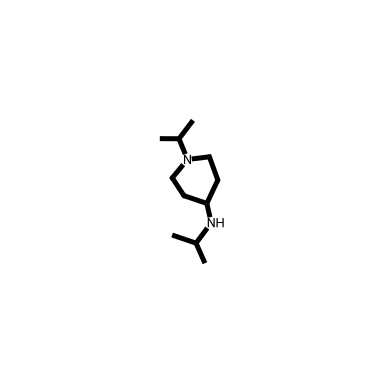 CC(C)NC1CCN(C(C)C)CC1